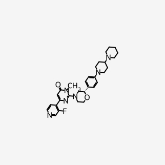 Cn1c(N2CCO[C@@H](c3ccc(N4CCC(N5CCCCC5)CC4)cc3)C2)nc(-c2ccncc2F)cc1=O